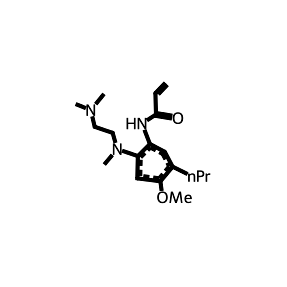 C=CC(=O)Nc1cc(CCC)c(OC)cc1N(C)CCN(C)C